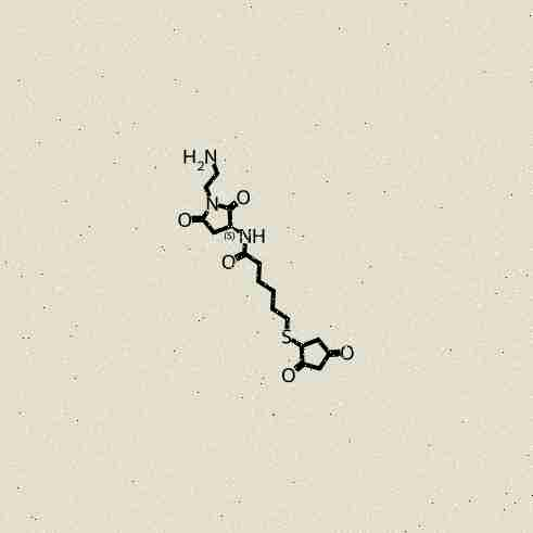 NCCN1C(=O)C[C@H](NC(=O)CCCCCSC2CC(=O)CC2=O)C1=O